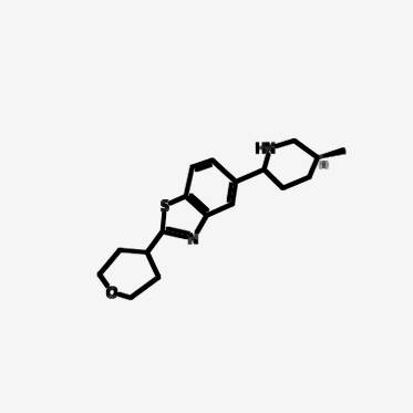 C[C@H]1CCC(c2ccc3sc(C4CCOCC4)nc3c2)NC1